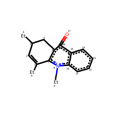 CCC1=CC(CC)Cc2c1n(CC)c1ccccc1c2=O